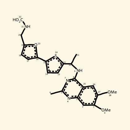 COc1cc2nc(C)nc(NC(C)c3ccc(-c4ccc(CNC(=O)O)o4)s3)c2cc1OC